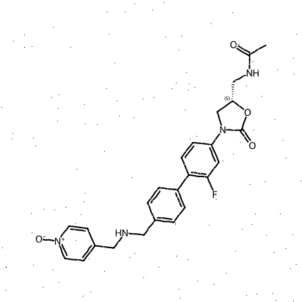 CC(=O)NC[C@H]1CN(c2ccc(-c3ccc(CNCc4cc[n+]([O-])cc4)cc3)c(F)c2)C(=O)O1